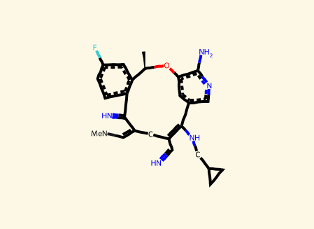 CN/C=C1/C/C(C=N)=C(/NCC2CC2)c2cnc(N)c(c2)O[C@H](C)c2cc(F)ccc2C1=N